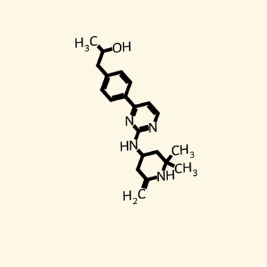 C=C1CC(Nc2nccc(-c3ccc(CC(C)O)cc3)n2)CC(C)(C)N1